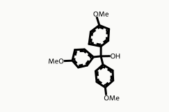 COc1ccc(C(O)(c2ccc(OC)cc2)c2ccc(OC)cc2)cc1